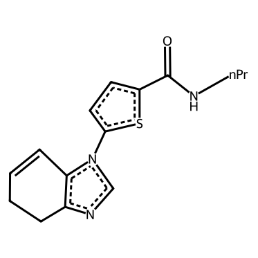 CCCNC(=O)c1ccc(-n2cnc3c2C=CCC3)s1